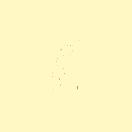 CCC(C(=O)O)c1ccc(Oc2ccc(C#N)cc2)cc1